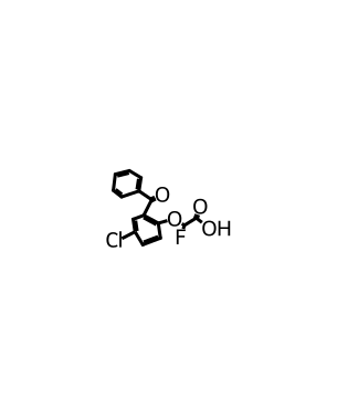 O=C(c1ccccc1)c1cc(Cl)ccc1OC(F)C(=O)O